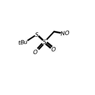 CC(C)(C)SS(=O)(=O)CN=O